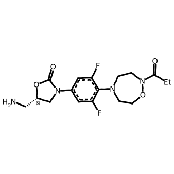 CCC(=O)N1CCN(c2c(F)cc(N3C[C@H](CN)OC3=O)cc2F)CCO1